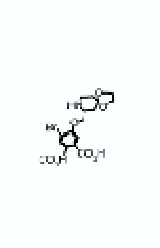 O=C(O)c1cc(Br)c(OC[C@H]2CC3(CCN2)OCCO3)cc1C(=O)O